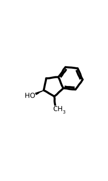 CC1c2ccccc2C[C@@H]1O